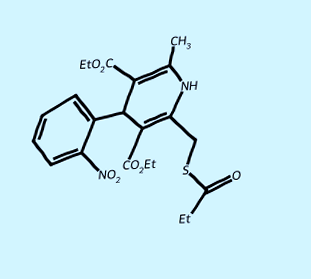 CCOC(=O)C1=C(C)NC(CSC(=O)CC)=C(C(=O)OCC)C1c1ccccc1[N+](=O)[O-]